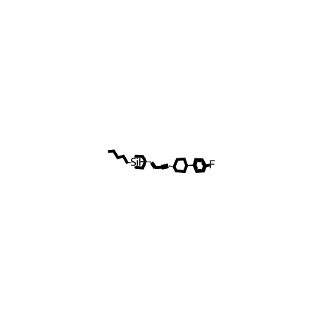 CCCCC[Si@H]1CC[C@H](/C=C/C#C[C@H]2CC[C@H](c3ccc(F)cc3)CC2)CC1